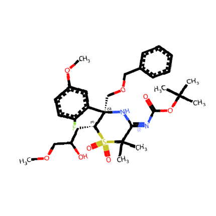 COCC(O)C[C@@H]1[C@@](COCc2ccccc2)(c2cc(OC)ccc2F)N/C(=N\C(=O)OC(C)(C)C)C(C)(C)S1(=O)=O